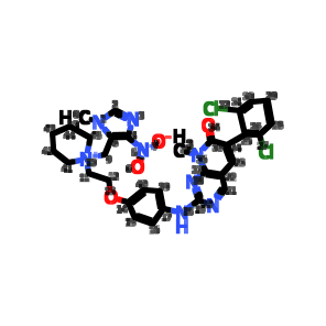 Cn1cnc([N+](=O)[O-])c1C[N+]1(CCOc2ccc(Nc3ncc4cc(-c5c(Cl)cccc5Cl)c(=O)n(C)c4n3)cc2)CCCCC1